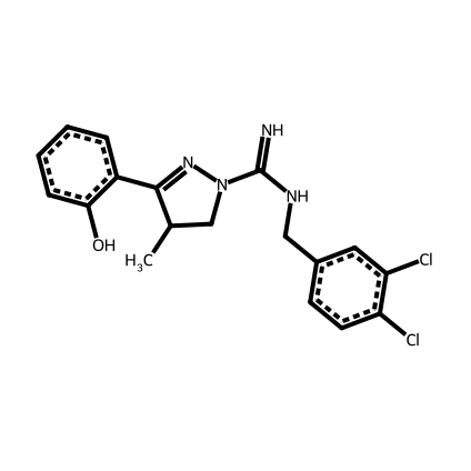 CC1CN(C(=N)NCc2ccc(Cl)c(Cl)c2)N=C1c1ccccc1O